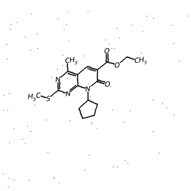 CCOC(=O)c1cc2c(C)nc(SC)nc2n(C2CCCC2)c1=O